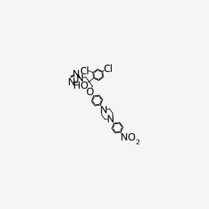 O=[N+]([O-])c1ccc(N2CCN(c3ccc(OCC(O)(Cn4cncn4)c4ccc(Cl)cc4Cl)cc3)CC2)cc1